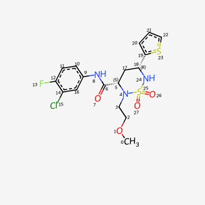 COCCN1[C@H](C(=O)Nc2ccc(F)c(Cl)c2)C[C@H](c2cccs2)NS1(=O)=O